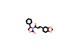 O=C(/C=C/c1ccc2c(c1)OCO2)N1C(=O)OCC1c1ccccc1